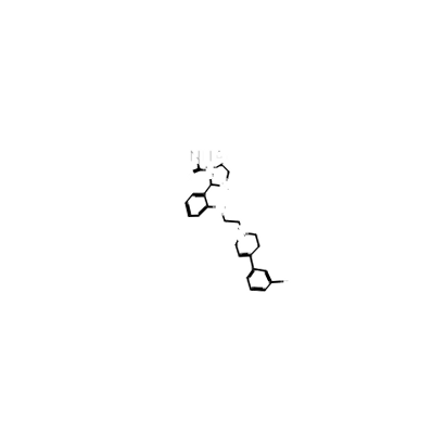 CC(=O)NC(=S)N1CCSC1c1ccccc1OCCN1CC=C(c2cccc(F)c2)CC1